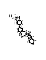 Cc1nc2ccc(-c3ccc4c(c3)CN(C(=O)N3C5CCC3c3ccccc35)CCO4)cc2[nH]1